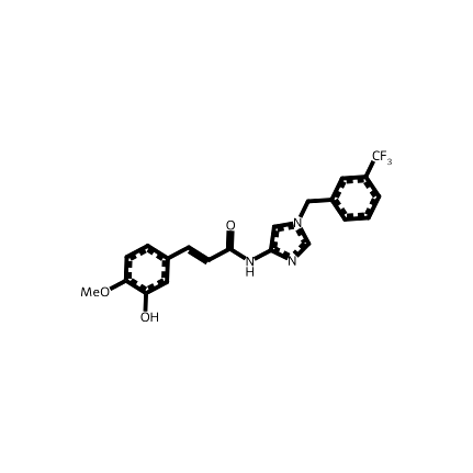 COc1ccc(/C=C/C(=O)Nc2cn(Cc3cccc(C(F)(F)F)c3)cn2)cc1O